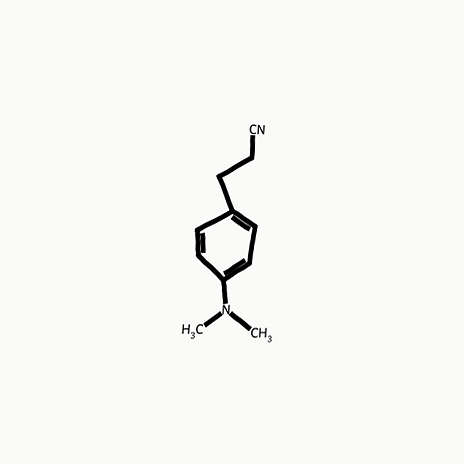 CN(C)c1ccc(CCC#N)cc1